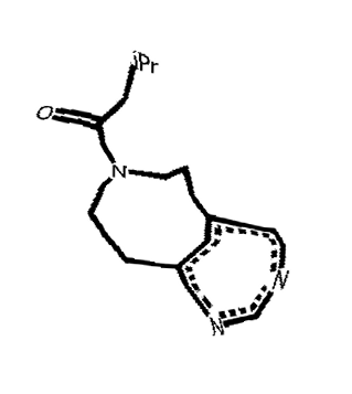 CC(C)C(=O)N1CCc2ncncc2C1